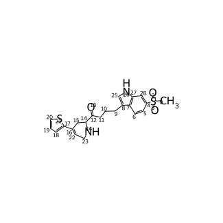 CS(=O)(=O)c1ccc2c(CCCC(=O)C3CC(c4cccs4)=CCN3)c[nH]c2c1